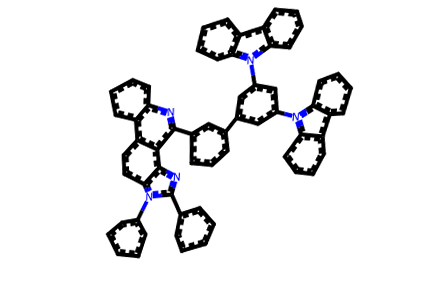 c1ccc(-c2nc3c4c(-c5cccc(-c6cc(-n7c8ccccc8c8ccccc87)cc(-n7c8ccccc8c8ccccc87)c6)c5)nc5ccccc5c4ccc3n2-c2ccccc2)cc1